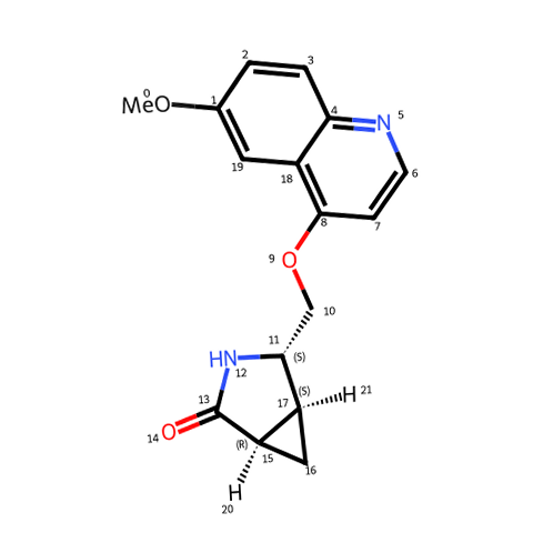 COc1ccc2nccc(OC[C@H]3NC(=O)[C@@H]4C[C@H]34)c2c1